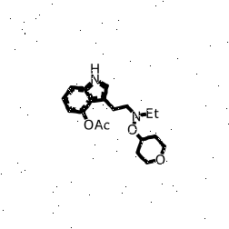 CCN(CCc1c[nH]c2cccc(OC(C)=O)c12)OC1CCOCC1